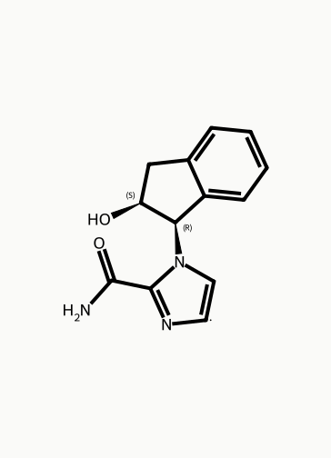 NC(=O)c1n[c]cn1[C@@H]1c2ccccc2C[C@@H]1O